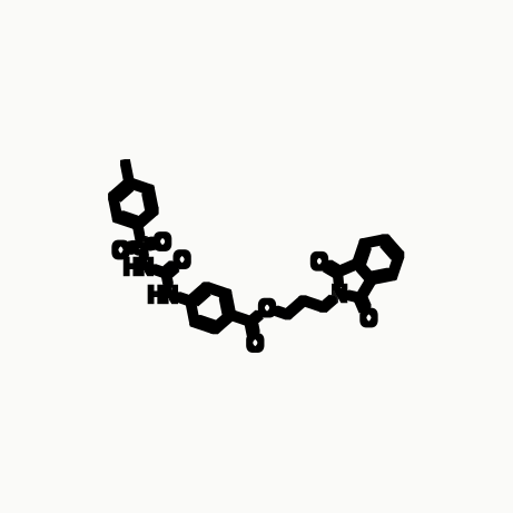 Cc1ccc(S(=O)(=O)NC(=O)Nc2ccc(C(=O)OCCCN3C(=O)c4ccccc4C3=O)cc2)cc1